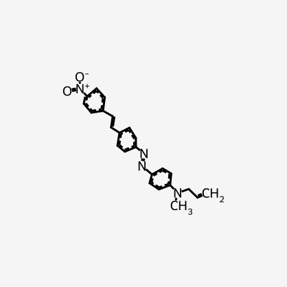 C=CCN(C)c1ccc(N=Nc2ccc(C=Cc3ccc([N+](=O)[O-])cc3)cc2)cc1